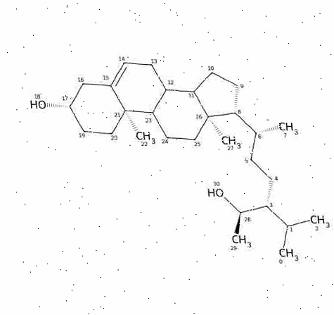 CC(C)[C@@H](CC[C@@H](C)[C@H]1CCC2C3CC=C4C[C@@H](O)CC[C@]4(C)C3CC[C@@]21C)[C@@H](C)O